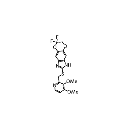 COc1ccnc(CSc2nc3cc4c(cc3[nH]2)OCC(F)(F)O4)c1OC